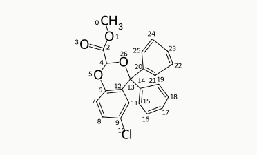 COC(=O)C1Oc2ccc(Cl)cc2C(c2ccccc2)(c2ccccc2)O1